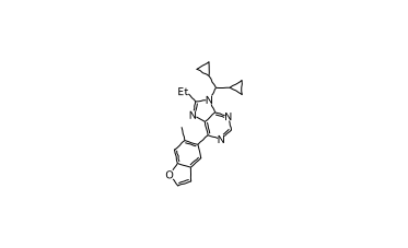 CCc1nc2c(-c3cc4ccoc4cc3C)ncnc2n1C(C1CC1)C1CC1